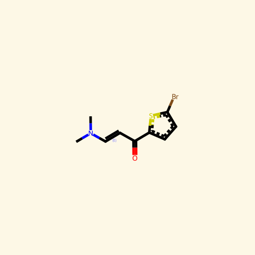 CN(C)/C=C/C(=O)c1ccc(Br)s1